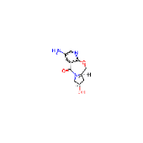 Nc1cnc2c(c1)C(=O)N1C[C@H](O)C[C@@H]1CO2